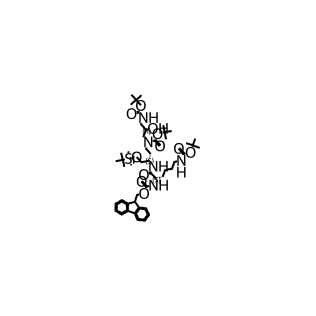 CC(C)(C)OC(=O)NCCCC[C@H](NC(=O)OCC1c2ccccc2-c2ccccc21)C(=O)N[C@@H](CCN(C[C@H](O)CNC(=O)OC(C)(C)C)C(=O)OC(C)(C)C)CO[Si](C)(C)C(C)(C)C